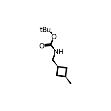 CC(C)(C)OC(=O)NC[C@H]1C[C@@H](C)C1